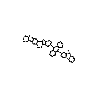 CC1(C)c2ccccc2-c2ccc(-c3c4ccccc4c(-c4ccc5sc6c7cc8oc9ccccc9c8cc7ccc6c5c4)c4ccccc34)cc21